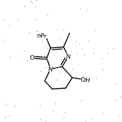 CCCc1c(C)nc2n(c1=O)CCCC2O